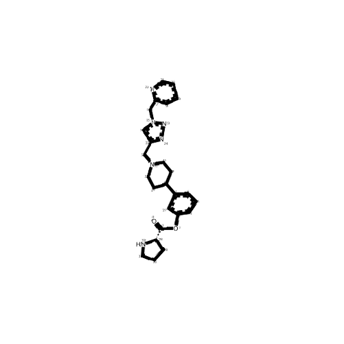 O=C(Oc1cccc(C2CCN(Cc3cn(Cc4ccccn4)nn3)CC2)c1)[C@@H]1CCCN1